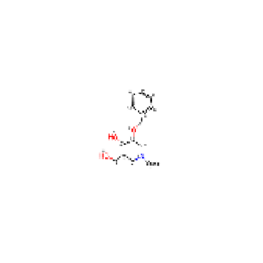 CON1CC(CO)C(O)C(OCc2ccccc2)C1